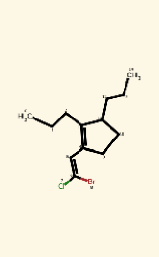 CCCC1=C(C=C(Cl)Br)CCC1CCC